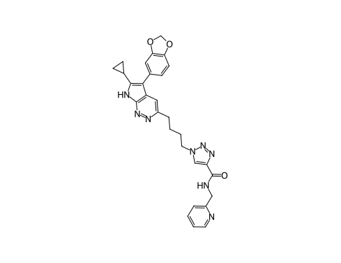 O=C(NCc1ccccn1)c1cn(CCCCc2cc3c(-c4ccc5c(c4)OCO5)c(C4CC4)[nH]c3nn2)nn1